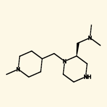 CN(C)C[C@H]1CNCCN1CC1CCN(C)CC1